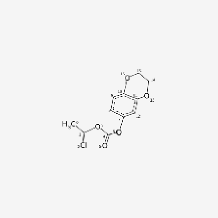 CC(Cl)OC(=O)Oc1ccc2c(c1)OCCO2